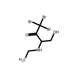 CCNC(CO)C(=O)C(Br)(Br)Br